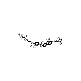 C=C(F)C(=O)OCCCOc1ccc(C(=O)Oc2ccc3c(c2)C(C)c2cc(OCCCN4C(=O)C=CC4=O)ccc2-3)cc1C